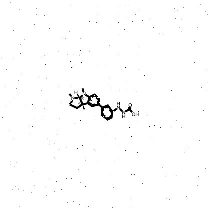 CN1CC[C@@]2(C)c3cc(-c4cccc(NNC(=O)O)c4)ccc3N(C)[C@@H]12